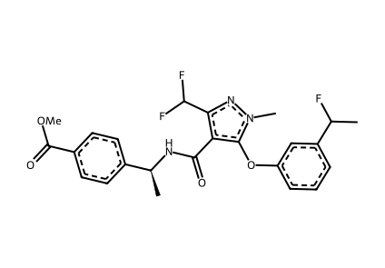 COC(=O)c1ccc([C@H](C)NC(=O)c2c(C(F)F)nn(C)c2Oc2cccc(C(C)F)c2)cc1